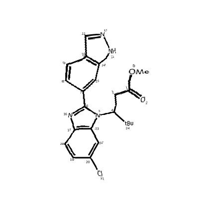 COC(=O)CC(n1c(-c2ccc3cn[nH]c3c2)nc2ccc(Cl)cc21)C(C)(C)C